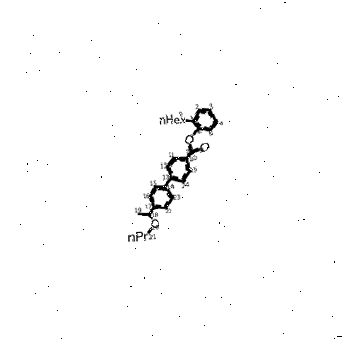 CCCCCCc1ccccc1OC(=O)c1ccc(-c2ccc(C(C)OCCC)cc2)cc1